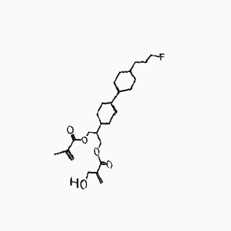 C=C(C)C(=O)OCC(COC(=O)C(=C)CO)C1CCC(C2CCC(CCCF)CC2)CC1